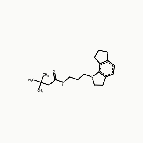 CC(C)(C)OC(=O)NCCCN1CCc2ccc3c(c21)CCS3